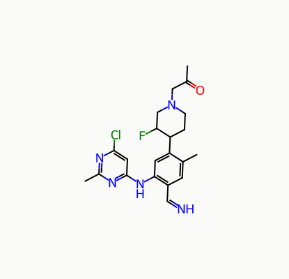 CC(=O)CN1CCC(c2cc(Nc3cc(Cl)nc(C)n3)c(C=N)cc2C)C(F)C1